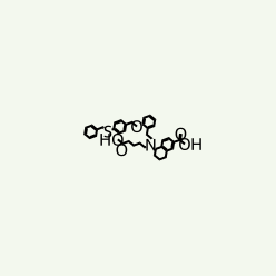 O=C(O)CCCCN(CCc1ccccc1OCc1ccc(SCc2ccccc2)cc1)C1CCCc2cc(C(=O)O)ccc21